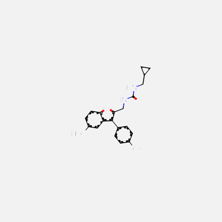 Cc1ccc(-c2c(CNC(=O)NCC3CC3)oc3ccc(C)cc23)cc1